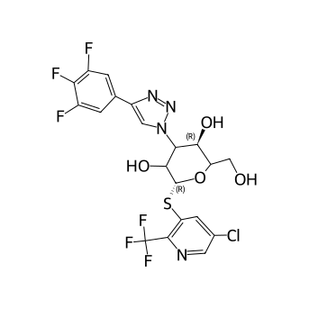 OCC1O[C@H](Sc2cc(Cl)cnc2C(F)(F)F)C(O)C(n2cc(-c3cc(F)c(F)c(F)c3)nn2)[C@H]1O